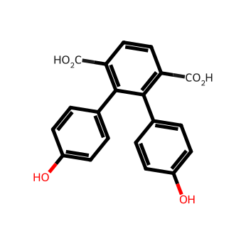 O=C(O)c1ccc(C(=O)O)c(-c2ccc(O)cc2)c1-c1ccc(O)cc1